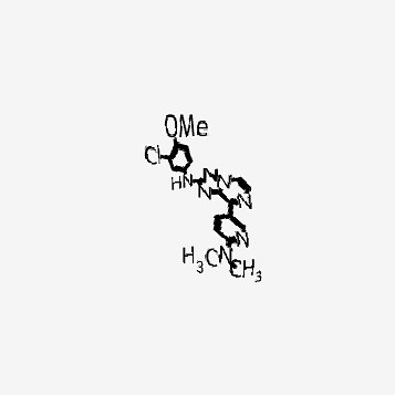 COc1ccc(Nc2nc3c(-c4ccc(N(C)C)nc4)nccn3n2)cc1Cl